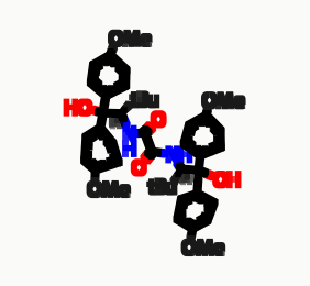 COc1ccc(C(O)(c2ccc(OC)cc2)[C@H](NC(=O)C(=O)N[C@H](C(C)(C)C)C(O)(c2ccc(OC)cc2)c2ccc(OC)cc2)C(C)(C)C)cc1